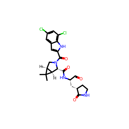 CC1(C)[C@@H]2[C@@H](C(=O)N[C@H](C=O)C[C@@H]3CCNC3=O)N(C(=O)c3cc4cc(Cl)cc(Cl)c4[nH]3)C[C@@H]21